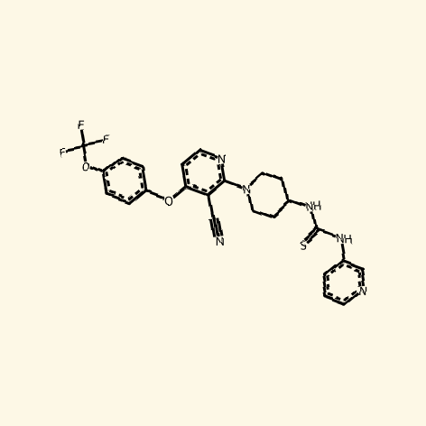 N#Cc1c(Oc2ccc(OC(F)(F)F)cc2)ccnc1N1CCC(NC(=S)Nc2cccnc2)CC1